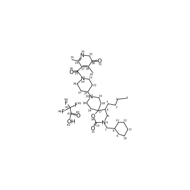 CCCCC1CN(CC2CCCCC2)C(=O)OC12CCN(C1CCN(C(=O)C3=C(C)C(=O)CN=C3C)CC1)CC2.O=C(O)C(F)(F)F